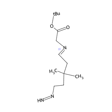 CC(C)(C/C=N/CC(=O)OC(C)(C)C)CCN=N